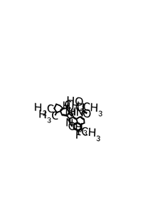 C=C1CCC2=C(C=C3C(=N/C)/C(=C4/C(NC(=O)C(C)(C)CO)=CCc5c4ccc(F)c5C)CN3C2=C)C1C